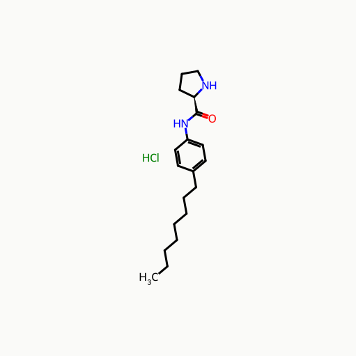 CCCCCCCCc1ccc(NC(=O)[C@H]2CCCN2)cc1.Cl